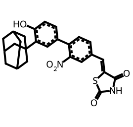 O=C1NC(=O)C(=Cc2ccc(-c3ccc(O)c(C45CC6CC(CC(C6)C4)C5)c3)c([N+](=O)[O-])c2)S1